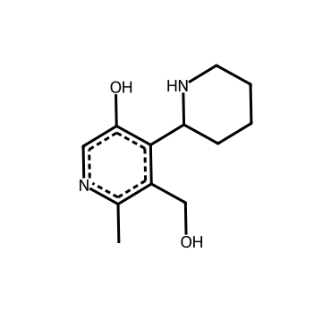 Cc1ncc(O)c(C2CCCCN2)c1CO